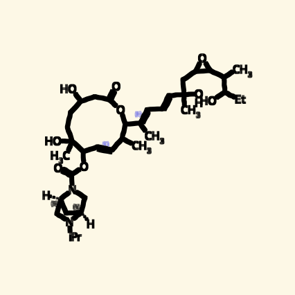 CCC(O)C(C)C1OC1CC(C)(O)C=C/C=C(\C)C1OC(=O)CC(O)CCC(C)(O)C(OC(=O)N2C[C@@H]3C[C@H]2CN3C(C)C)/C=C/C1C